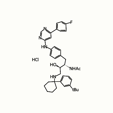 CC(=O)N[C@@H](Cc1ccc(Nc2cc(-c3ccc(F)cc3)ncn2)cc1)[C@H](O)CNC1(c2cccc(C(C)(C)C)c2)CCCCC1.Cl